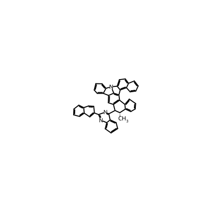 C[C@H]1c2ccccc2-c2c(cc3c4ccccc4n4c5ccc6ccccc6c5c2c34)C1c1nc(-c2ccc3ccccc3c2)nc2ccccc12